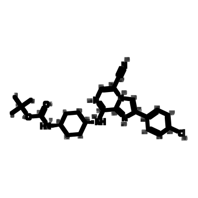 CC(C)(C)OC(=O)N[C@H]1CC[C@H](Nc2ncc(C#N)n3cc(-c4ccc(Cl)cc4)nc23)CC1